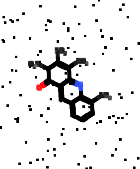 O=C1c2cc3cccc([N+](=O)[O-])c3nc2C([N+](=O)[O-])=C([N+](=O)[O-])C1[N+](=O)[O-]